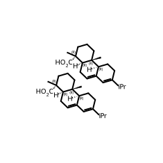 CC(C)C1=CC2=CC[C@@H]3[C@](C)(CCC[C@@]3(C)C(=O)O)[C@H]2CC1.CC(C)C1=CC2=CC[C@@H]3[C@](C)(CCC[C@@]3(C)C(=O)O)[C@H]2CC1